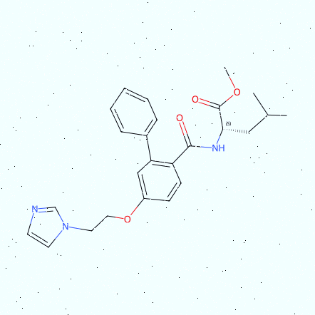 COC(=O)[C@H](CC(C)C)NC(=O)c1ccc(OCCn2ccnc2)cc1-c1ccccc1